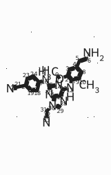 COc1cc(/C=C/N)cc(C)c1Nc1nc(Nc2ccc(C#N)cc2)nc2c1ncn2CC#N